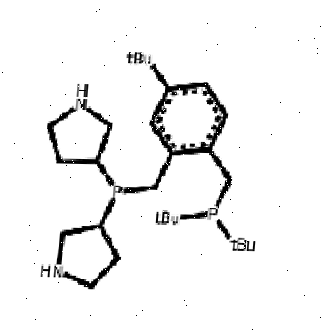 CC(C)(C)c1ccc(CP(C(C)(C)C)C(C)(C)C)c(CP(C2CCNC2)C2CCNC2)c1